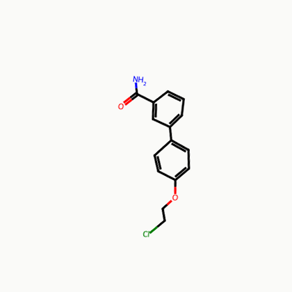 NC(=O)c1cccc(-c2ccc(OCCCl)cc2)c1